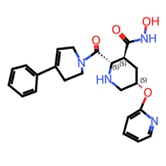 O=C(NO)[C@H]1C[C@H](Oc2ccccn2)CN[C@@H]1C(=O)N1CC=C(c2ccccc2)CC1